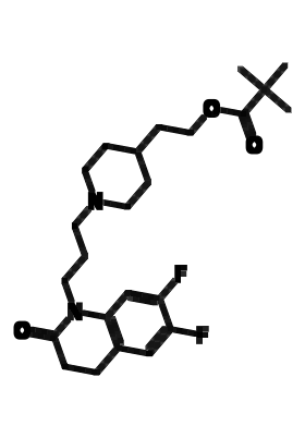 CC(C)(C)C(=O)OCCC1CCN(CCCN2C(=O)CCc3cc(F)c(F)cc32)CC1